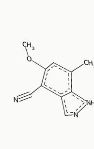 COc1cc(C)c2[nH]ncc2c1C#N